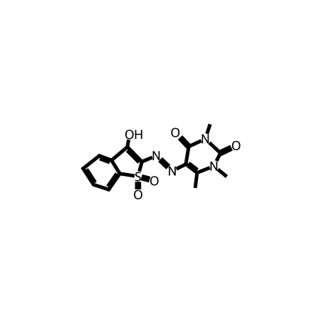 Cc1c(N=NC2=C(O)c3ccccc3S2(=O)=O)c(=O)n(C)c(=O)n1C